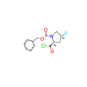 O=C(Cl)[C@@H]1C[C@H](F)CN1C(=O)OCc1ccccc1